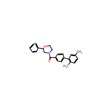 Cc1ccc(C)c(-c2ccc(C(=O)N3CCOC(c4ccccc4)C3)cc2)c1